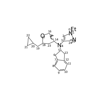 CCn1cc(N(C2Cc3ccccc3C2)C2CCOC(CC3CC3)C2)cn1